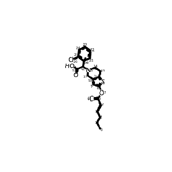 CCCC=CC(=O)Oc1cc2c(s1)CCN(C(C(=O)O)c1ccccc1Cl)C2